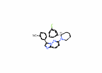 N#Cc1cccc(-c2cnc3ccc(N4CCCC[C@H]4c4cccc(F)c4)nn23)c1